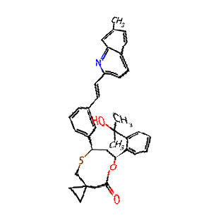 Cc1ccc2ccc(/C=C/c3cccc([C@H]4C[C@@H](c5ccccc5C(C)(C)O)OC(=O)CC5(CC5)CS4)c3)nc2c1